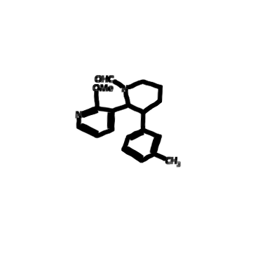 COc1ncccc1C1C(c2cccc(C)c2)CCCN1C=O